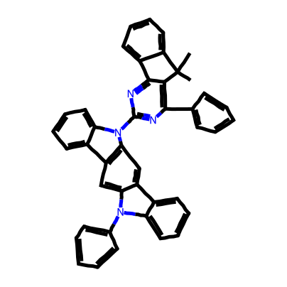 CC1(C)c2ccccc2-c2nc(-n3c4ccccc4c4cc5c(cc43)c3ccccc3n5-c3ccccc3)nc(-c3ccccc3)c21